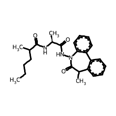 CCCCC(C)C(=O)N[C@@H](C)C(=O)NN1C(=O)C(C)c2ccccc2-c2ccccc21